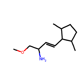 COCC(N)C=CC1C(C)CCC1C